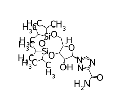 CC(C)[Si]1(C(C)C)OC[C@H]2O[C@@H](n3cnc(C(N)=O)n3)[C@@H](O)C2O[Si](C(C)C)(C(C)C)O1